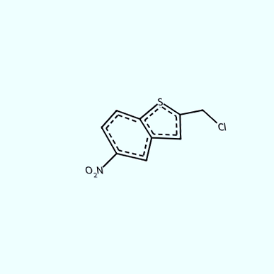 O=[N+]([O-])c1ccc2sc(CCl)cc2c1